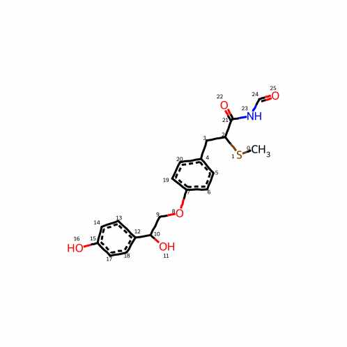 CSC(Cc1ccc(OCC(O)c2ccc(O)cc2)cc1)C(=O)NC=O